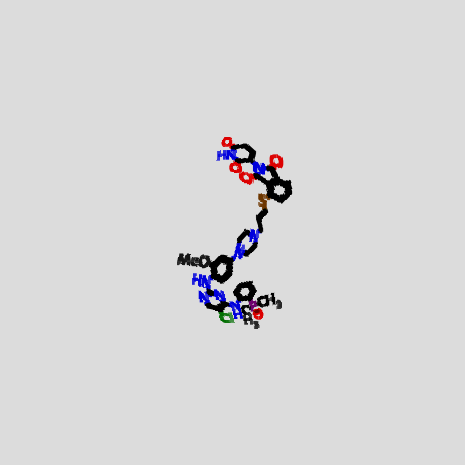 COc1cc(N2CCN(CCCSc3cccc4c3C(=O)N(C3CCC(=O)NC3=O)C4=O)CC2)ccc1Nc1ncc(Cl)c(Nc2ccccc2P(C)(C)=O)n1